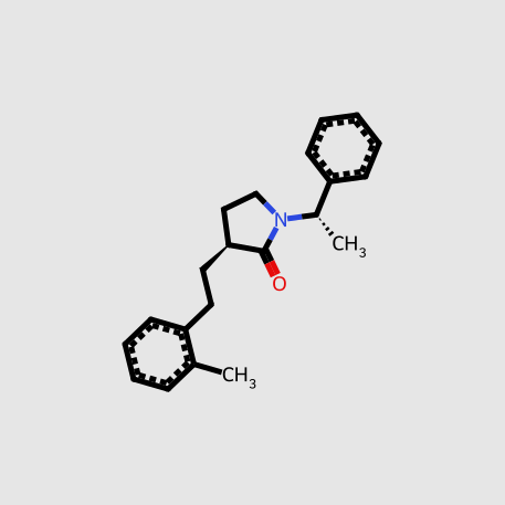 Cc1ccccc1CC[C@H]1CCN([C@@H](C)c2ccccc2)C1=O